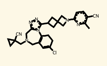 Cc1nc(N2CC3(CC(c4nnc5n4C4=C(C=C(Cl)CC4)CN(CC4(C#N)CC4)C5)C3)C2)ccc1C#N